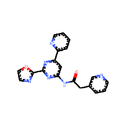 O=C(Cc1cccnc1)Nc1cc(-c2ccccn2)nc(-c2ncco2)n1